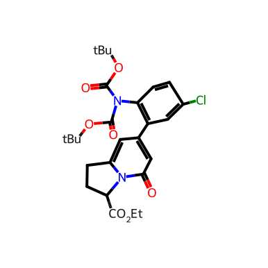 CCOC(=O)C1CCc2cc(-c3cc(Cl)ccc3N(C(=O)OC(C)(C)C)C(=O)OC(C)(C)C)cc(=O)n21